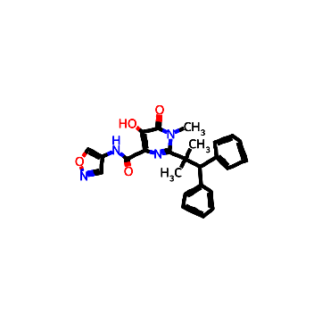 Cn1c(C(C)(C)C(c2ccccc2)c2ccccc2)nc(C(=O)Nc2cnoc2)c(O)c1=O